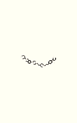 O=C1CCC(N2C(=O)c3ccc(N4CCN(CCC5CCN(C(=O)CCc6ccc7c(c6)[nH]c6ccncc67)CC5)CC4)cc3C2=O)C(=O)N1